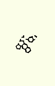 S=C1N/C(=N/C2CCCC2)C(c2ccc3ccccc3c2)N1c1ccc2[nH]cnc2c1